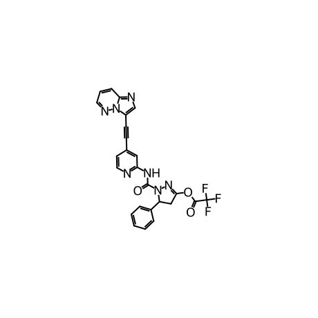 O=C(Nc1cc(C#Cc2cnc3cccnn23)ccn1)N1N=C(OC(=O)C(F)(F)F)CC1c1ccccc1